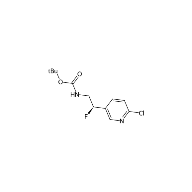 CC(C)(C)OC(=O)NC[C@H](F)c1ccc(Cl)nc1